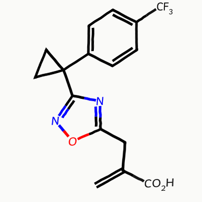 C=C(Cc1nc(C2(c3ccc(C(F)(F)F)cc3)CC2)no1)C(=O)O